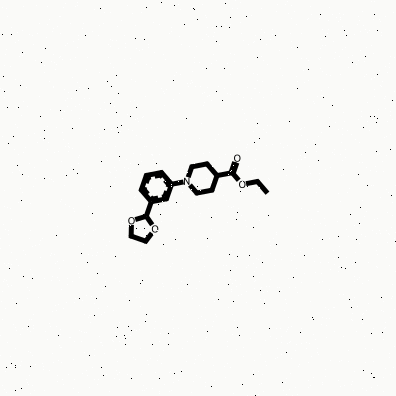 CCOC(=O)C1CCN(c2cccc(C3OCCO3)c2)CC1